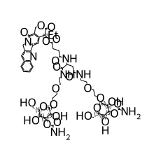 CC[C@@]1(OC(=O)CCC(=O)NC(CC(=O)NCCOCCO[C@H]2O[C@@H](CO)[C@@H](O)[C@H](OC(N)=O)[C@@H]2O)C(=O)NCCOCCO[C@H]2O[C@@H](CO)[C@@H](O)[C@H](OC(N)=O)[C@@H]2O)C(=O)OCc2c1cc1n(c2=O)Cc2cc3ccccc3nc2-1